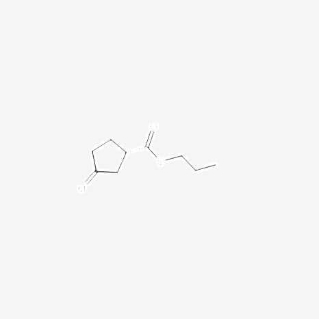 CCCOC(=O)[C@H]1CCC(=O)C1